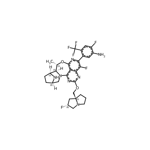 C[C@@H]1Oc2nc(-c3cc(N)c(F)cc3C(F)(F)F)c(F)c3nc(OC[C@@]45CCCN4C[C@H](F)C5)nc(c23)N2C[C@H]3CC[C@H](N3)[C@@H]12